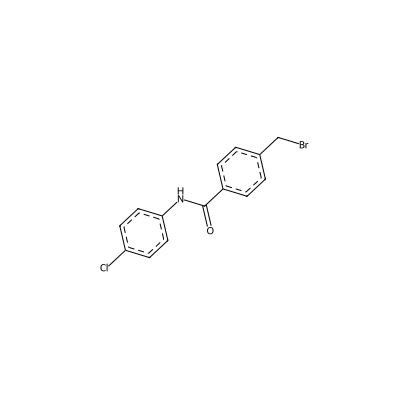 O=C(Nc1ccc(Cl)cc1)c1ccc(CBr)cc1